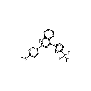 CSc1ccc(-c2cc(-n3ccc(C(F)(F)F)n3)c3ccccc3n2)cc1